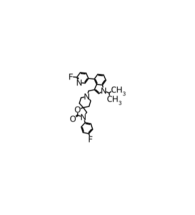 CC(C)n1cc(CN2CCC3(CC2)CN(c2ccc(F)cc2)C(=O)O3)c2c(-c3ccc(F)nc3)cccc21